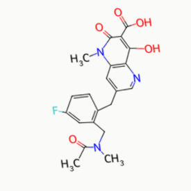 CC(=O)N(C)Cc1cc(F)ccc1Cc1cnc2c(O)c(C(=O)O)c(=O)n(C)c2c1